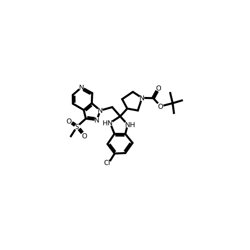 CC(C)(C)OC(=O)N1CCC(C2(Cn3nc(S(C)(=O)=O)c4ccncc43)Nc3ccc(Cl)cc3N2)C1